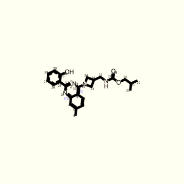 C=C(/N=C1/C=C(C)C=C/C1=C(/N)N1CC(CNC(=O)OCC(C)C)C1)c1ccccc1O